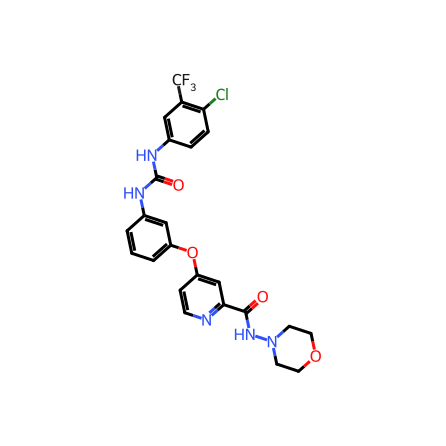 O=C(Nc1cccc(Oc2ccnc(C(=O)NN3CCOCC3)c2)c1)Nc1ccc(Cl)c(C(F)(F)F)c1